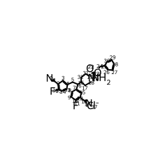 N#Cc1cc(CC(c2ccc(F)c(C#N)c2)C2CC[N+](N)(C(=O)OCc3ccccc3)CC2)ccc1F.[Cl-]